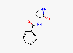 O=C(NC1CCNC1=O)C1=CC=CCC=C1